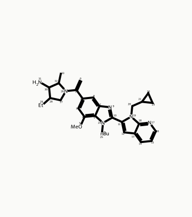 C=C(c1cc(OC)c2c(c1)nc(-c1cc3cccnc3n1CC1CC1)n2CCCC)N1CC(CC)C(N)C1C